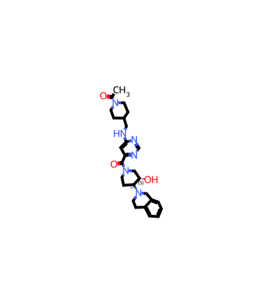 CC(=O)N1CCC(CNc2cc(C(=O)N3CC[C@H](N4CCc5ccccc5C4)[C@@H](O)C3)ncn2)CC1